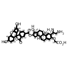 C[C@]12CC[C@@H]3c4cc(C(N)CN)c(OCC(=O)O)cc4CC[C@H]3[C@@H]1C[C@@H](OC(=O)c1ccc3c(c1)C(=O)OC31c3ccc(O)cc3Oc3cc(O)ccc31)[C@@H]2O